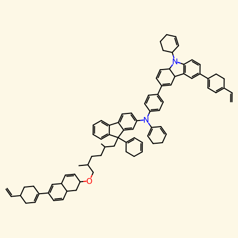 C=CC1=CC=C(c2ccc3c(c2)C2C=C(c4ccc(N(C5=CCCC=C5)c5ccc6c(c5)C(CC(C)CCC(C)COC5C=CC7C=C(C8=CCC(C=C)CC8)C=CC7C5)(C5=CC=CCC5)c5ccccc5-6)cc4)C=CC2N3C2C=CCCC2)CC1